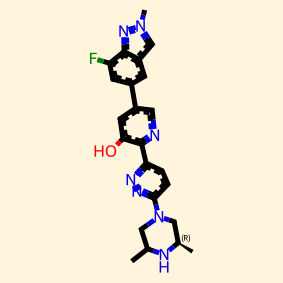 CC1CN(c2ccc(-c3ncc(-c4cc(F)c5nn(C)cc5c4)cc3O)nn2)C[C@@H](C)N1